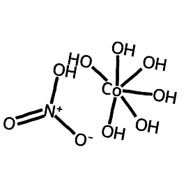 O=[N+]([O-])O.[OH][Co]([OH])([OH])([OH])([OH])[OH]